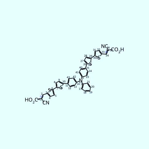 N#C/C(=C\c1ccc(-c2ccc(-c3ccc(N(c4ccccc4)c4ccc(-c5ccc(-c6ccc(/C=C(\C#N)C(=O)O)s6)s5)cc4)cc3)s2)s1)C(=O)O